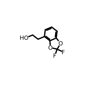 OCCc1cccc2c1OC(F)(F)O2